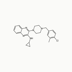 Cc1cc(CN2CCN(c3nc4ccccc4nc3NC3CC3)CC2)ccc1Cl